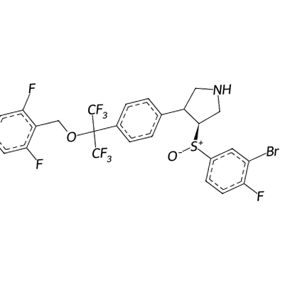 [O-][S+](c1ccc(F)c(Br)c1)[C@@H]1CNCC1c1ccc(C(OCc2c(F)cccc2F)(C(F)(F)F)C(F)(F)F)cc1